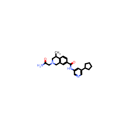 CC1CN(CC(N)=O)Cc2cc(C(=O)Nc3cncc(C4CCCC4)c3)ccc21